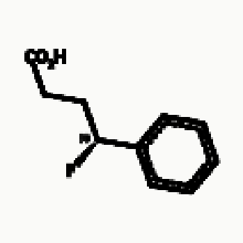 O=C(O)CC[C@@H](F)c1ccccc1